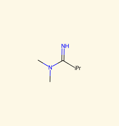 CC(C)C(=N)N(C)C